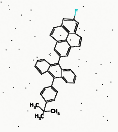 CC(C)(C)c1ccc(-c2c3ccccc3c(-c3cc4ccc5cc(F)cc6ccc(c3)c4c56)c3ccccc23)cc1